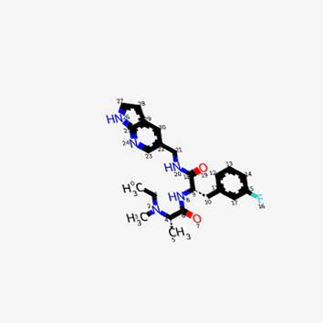 CCN(C)[C@@H](C)C(=O)N[C@@H](Cc1cccc(F)c1)C(=O)NCc1cnc2[nH]ccc2c1